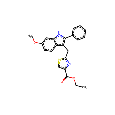 CCOC(=O)c1csc(Cc2c(-c3ccccc3)[nH]c3cc(OC)ccc23)n1